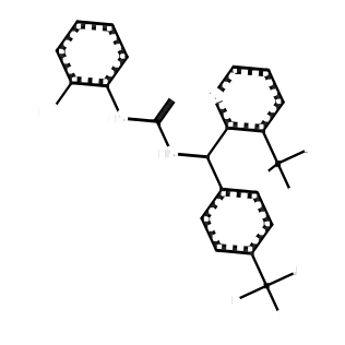 Cc1ccccc1NC(=O)NC(c1ccc(C(F)(F)F)cc1)c1ncccc1C(F)(F)F